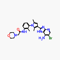 Cc1c(NC(=O)CN2CCOCC2)cccc1-n1c(C)cc(-c2nc3ncc(Br)c(N)c3[nH]2)c1C